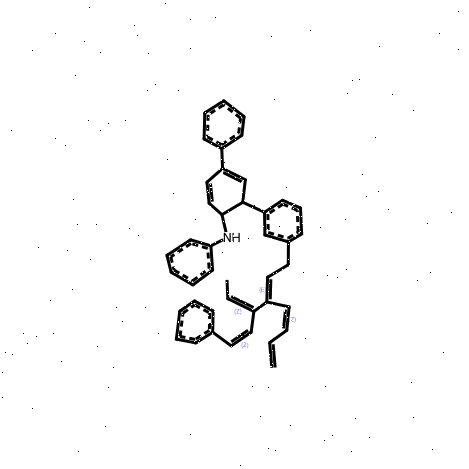 C=C\C=C/C(=C\Cc1cccc(C2C=C(c3ccccc3)C=CC2Nc2ccccc2)c1)C(/C=C\c1ccccc1)=C\C